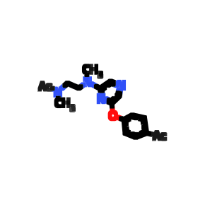 CC(=O)c1ccc(Oc2cncc(N(C)CCN(C)C(C)=O)n2)cc1